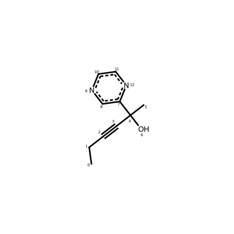 CCC#CC(C)(O)c1cnccn1